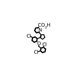 O=C(O)c1cccc(C2=C(c3cc(Cl)ccc3OCc3c(Cl)cccc3Cl)CCC2)n1